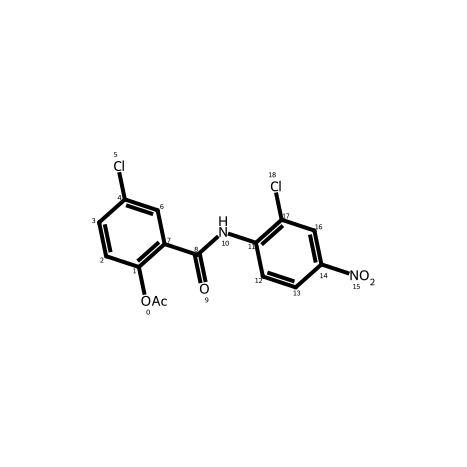 CC(=O)Oc1ccc(Cl)cc1C(=O)Nc1ccc([N+](=O)[O-])cc1Cl